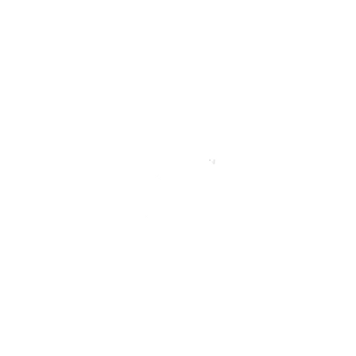 CC(CCN)Cc1cc(F)c(Cl)c(C(C)C)c1